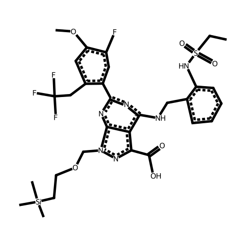 CCS(=O)(=O)Nc1ccccc1CNc1nc(-c2cc(F)c(OC)cc2CC(F)(F)F)nc2c1c(C(=O)O)nn2COCC[Si](C)(C)C